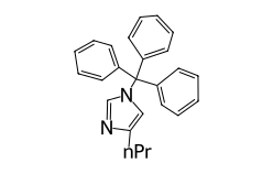 CCCc1cn(C(c2ccccc2)(c2ccccc2)c2ccccc2)cn1